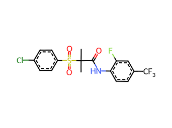 CC(C)(C(=O)Nc1ccc(C(F)(F)F)cc1F)S(=O)(=O)c1ccc(Cl)cc1